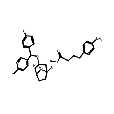 CN1C2CC[C@H]1[C@@H](COC(=O)CCCc1ccc(N)cc1)[C@H](OC(c1ccc(F)cc1)c1ccc(F)cc1)C2